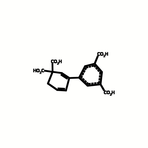 O=C(O)c1cc(C(=O)O)cc(C2=CC(C(=O)O)(C(=O)O)CC=C2)c1